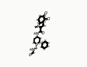 Cn1c(C(=O)N[C@H]2CCN(SNC=O)[C@@H](c3ccccc3)C2)cc2c(Cl)c(Cl)ccc21